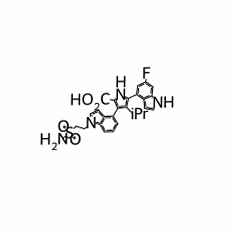 CC(C)c1c(-c2cc(F)cc3[nH]ccc23)[nH]c(C(=O)O)c1-c1cccc2c1ccn2CCS(N)(=O)=O